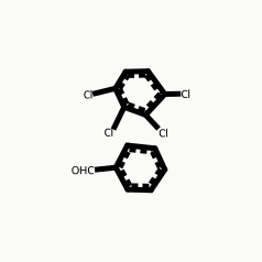 Clc1ccc(Cl)c(Cl)c1Cl.O=Cc1ccccc1